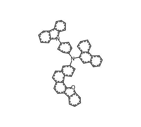 c1ccc2c(c1)cc(N(c1ccc(-n3c4ccccc4c4ccccc43)cc1)c1ccc3c(ccc4ccc5c6ccccc6oc5c43)c1)c1ccccc12